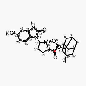 COC(=O)C12CC3CC(C1)C(OC(=O)N1CCC(n4c(=O)[nH]c5cc(C#N)ccc54)C1)[C@H](C3)C2